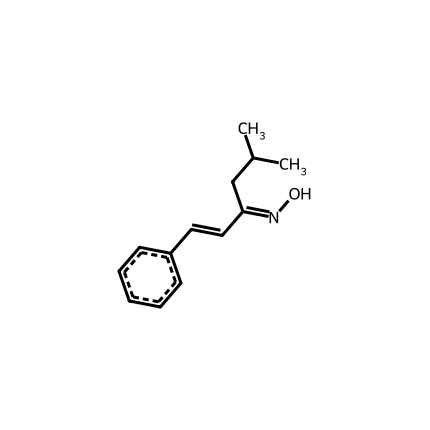 CC(C)CC(/C=C/c1ccccc1)=N\O